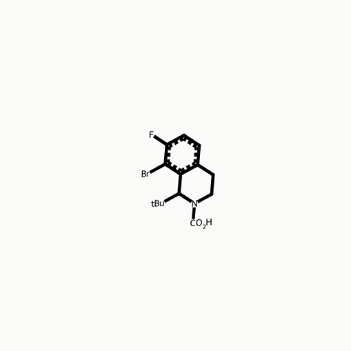 CC(C)(C)C1c2c(ccc(F)c2Br)CCN1C(=O)O